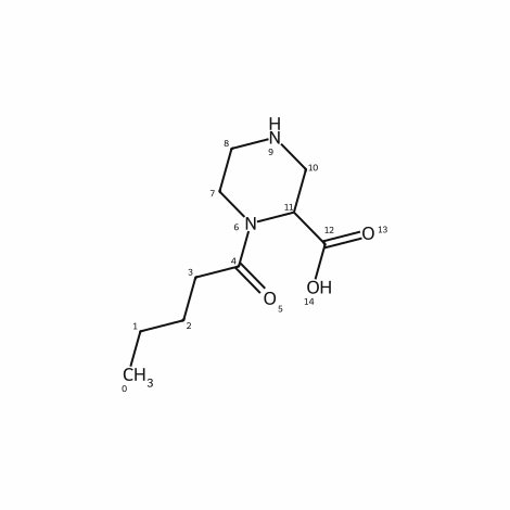 CCCCC(=O)N1CCNCC1C(=O)O